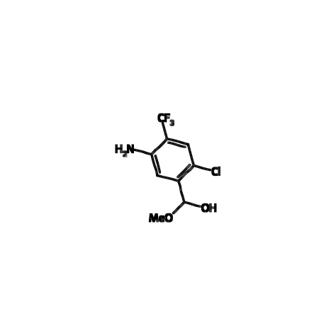 COC(O)c1cc(N)c(C(F)(F)F)cc1Cl